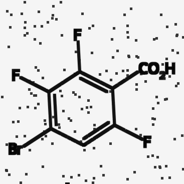 O=C(O)c1c(F)cc(Br)c(F)c1F